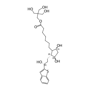 O=C(CCCCCCC1[C@@H](CC[C@@H](O)c2cc3ccccc3s2)[C@H](O)C[C@@H]1O)OCC(CO)(CO)CO